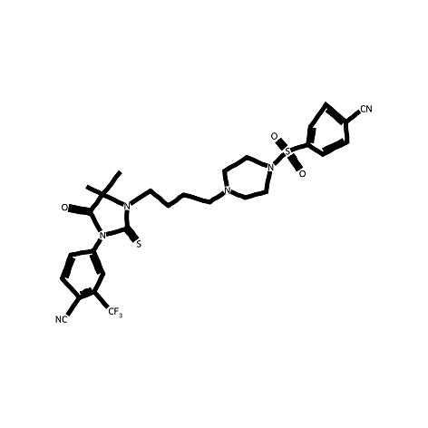 CC1(C)C(=O)N(c2ccc(C#N)c(C(F)(F)F)c2)C(=S)N1CCCCN1CCN(S(=O)(=O)c2ccc(C#N)cc2)CC1